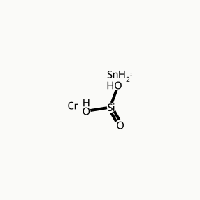 O=[Si](O)O.[Cr].[SnH2]